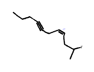 CCCC#CC/C=C\CC(C)F